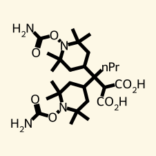 CCCC(C1CC(C)(C)N(OC(N)=O)C(C)(C)C1)(C1CC(C)(C)N(OC(N)=O)C(C)(C)C1)C(C(=O)O)C(=O)O